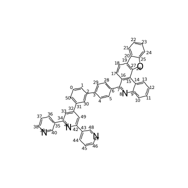 c1cc(-c2ccc(-c3nc4ccccc4c4c3ccc3c5ccccc5oc34)cc2)cc(-c2cc(-c3cccnc3)nc(-c3cccnc3)c2)c1